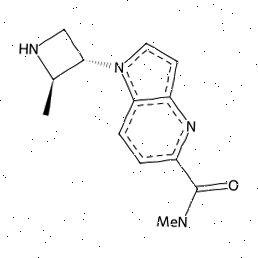 CNC(=O)c1ccc2c(ccn2[C@H]2CN[C@@H]2C)n1